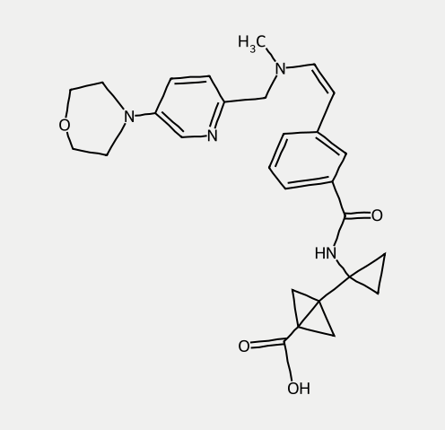 CN(/C=C\c1cccc(C(=O)NC2(C34CC3(C(=O)O)C4)CC2)c1)Cc1ccc(N2CCOCC2)cn1